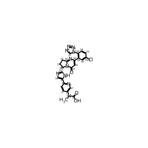 CN(C(=O)O)c1ccc(-c2cnc([C@@H]3CCc4nc(-c5cc(Cl)ccc5-n5cnnn5)cc(=O)n43)[nH]2)nc1